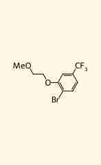 COCCOc1cc(C(F)(F)F)ccc1Br